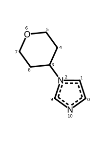 c1cn(C2CCOCC2)cn1